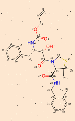 C=CCOC(=O)N[C@@H](Cc1ccccc1)[C@H](O)C(=O)N1CSC(C)(C)[C@H]1C(=O)NCc1ccccc1C